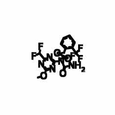 COc1nc(C(F)F)nc(N(C(N)=O)S(=O)(=O)c2ccccc2C(F)(F)F)n1